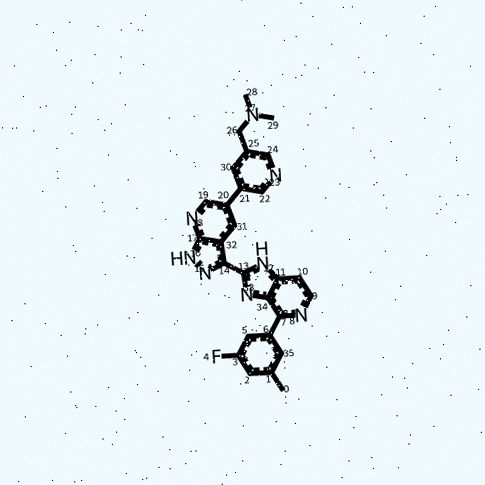 Cc1cc(F)cc(-c2nccc3[nH]c(-c4n[nH]c5ncc(-c6cncc(CN(C)C)c6)cc45)nc23)c1